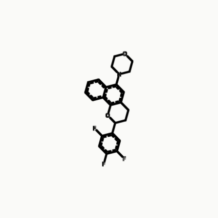 Fc1cc(F)c(C2CCc3cc(N4CCOCC4)c4ccccc4c3O2)cc1F